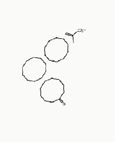 C1CCCCCCCCC1.C1CCCCCCCCC1.C=C(C)C(=O)O.O=C1CCCCCCCCC1